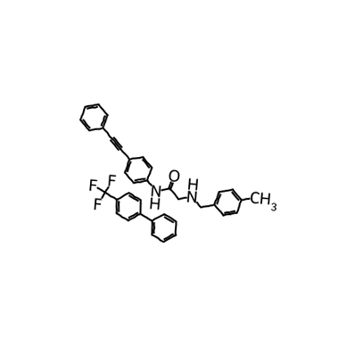 Cc1ccc(CNCC(=O)Nc2ccc(C#Cc3ccccc3)cc2)cc1.FC(F)(F)c1ccc(-c2ccccc2)cc1